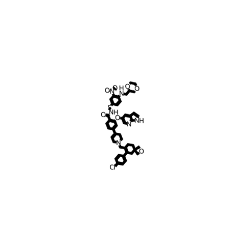 O=C(NSc1ccc(NCC2COCCO2)c([N+](=O)[O-])c1)c1ccc(C2=CCN(CC3=C(c4ccc(Cl)cc4)CC4(CC3)COC4)CC2)cc1Oc1cnc2[nH]ccc2c1